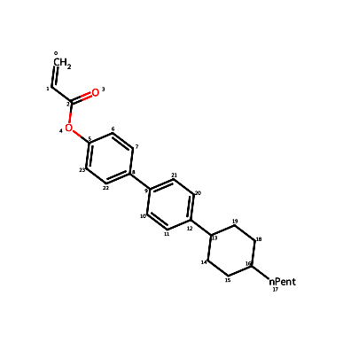 C=CC(=O)Oc1ccc(-c2ccc(C3CCC(CCCCC)CC3)cc2)cc1